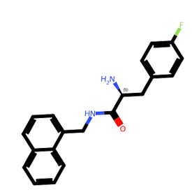 N[C@@H](Cc1ccc(F)cc1)C(=O)NCc1cccc2ccccc12